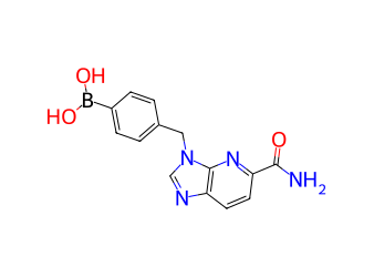 NC(=O)c1ccc2ncn(Cc3ccc(B(O)O)cc3)c2n1